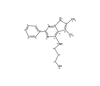 Cc1[nH]c2nc(-c3ccccc3)nc(NCCCO)c2c1C